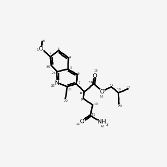 COc1ccc2cc(C(CCC(N)=O)C(=O)OCC(C)C)c(C)nc2c1